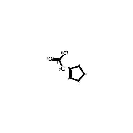 C1=CCCC1.O=C(Cl)Cl